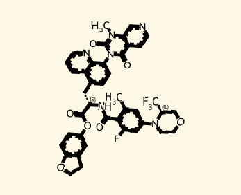 Cc1cc(N2CCOC[C@@H]2C(F)(F)F)cc(F)c1C(=O)N[C@@H](Cc1ccc(-n2c(=O)c3ccncc3n(C)c2=O)c2ncccc12)C(=O)Oc1ccc2c(c1)CCO2